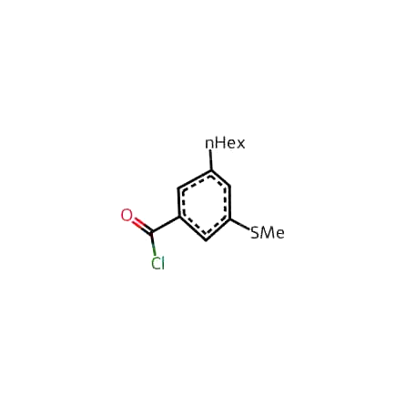 CCCCCCc1cc(SC)cc(C(=O)Cl)c1